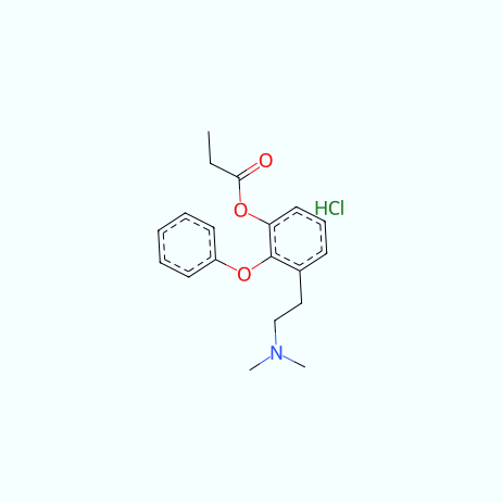 CCC(=O)Oc1cccc(CCN(C)C)c1Oc1ccccc1.Cl